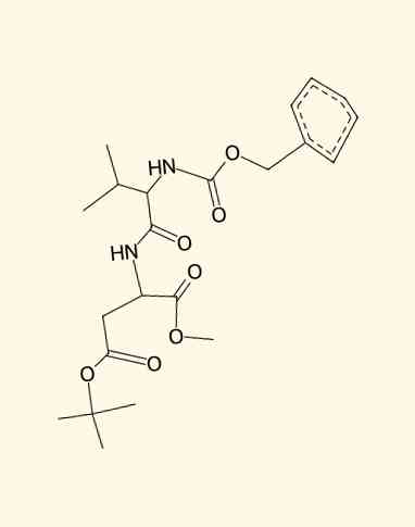 COC(=O)C(CC(=O)OC(C)(C)C)NC(=O)C(NC(=O)OCc1ccccc1)C(C)C